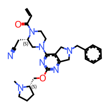 C=CC(=O)N1CCN(c2nc(OC[C@@H]3CCCN3C)nc3c2CN(Cc2ccccc2)C3)C[C@@H]1CC#N